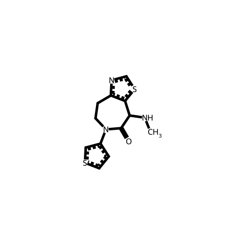 CNC1C(=O)N(c2ccsc2)CCc2ncsc21